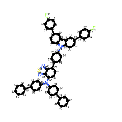 Fc1ccc(-c2ccc3c(c2)c2cc(-c4ccc(F)cc4)ccc2n3-c2ccc(-c3ccc(N(c4ccc(-c5ccccc5)cc4)c4ccc(-c5ccccc5)cc4)c4nsnc34)cc2)cc1